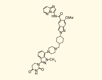 COc1cc2nn(C3CCC(CN4CCN(c5cccc6c(N7CCC(=O)NC7=O)nn(C)c56)CC4)CC3)cc2cc1C(=O)Nc1cnc2cccnn12